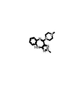 CN1CCN(C2=Nc3ccccc3Nc3nn(C)nc32)CC1